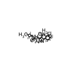 CC1CC(NC(=O)N2CCn3nc(-c4ccc(F)c(Cl)c4)c(C(N)=O)c3C2)C1